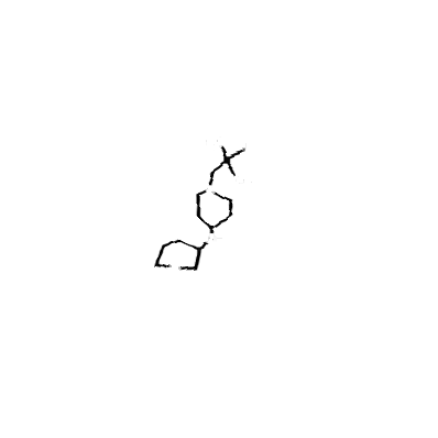 CC(C)(F)CN1CCC(NC2CCCOC2)CC1